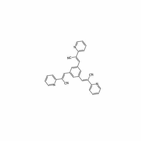 N#C/C(=C\c1cc(/C=C(\C#N)c2ccccn2)cc(/C=C(\C#N)c2ccccn2)c1)c1ccccn1